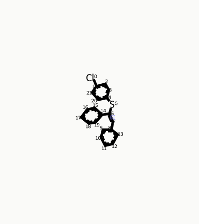 Clc1ccc(S/C(=C/c2ccccc2)c2ccccc2)cc1